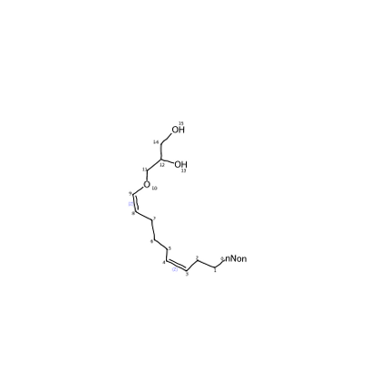 CCCCCCCCCCC/C=C\CCC/C=C\OCC(O)CO